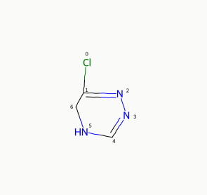 ClC1=NN=CNC1